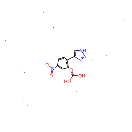 O=C(O)O.O=[N+]([O-])c1ccc(-c2c[nH]nn2)cc1